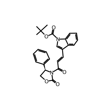 CC(C)(C)OC(=O)n1cc(C=CC(=O)N2C(=O)OC[C@H]2c2ccccc2)c2ccccc21